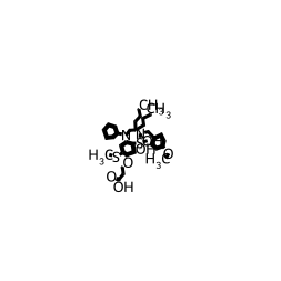 CCCCC1(CCCC)CN(c2ccccc2)c2cc(SC)c(OCCC(=O)O)cc2S(O)(O)N1Cc1ccc(OC)cc1